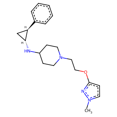 Cn1ccc(OCCN2CCC(N[C@@H]3C[C@H]3c3ccccc3)CC2)n1